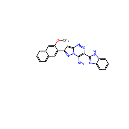 COc1cc2ccccc2cc1-c1cc2nnc(-c3nc4ccccc4[nH]3)c(N)n2n1